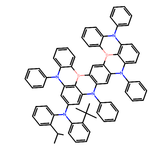 CC(C)c1ccccc1N(c1cc2c3c(c1)N(c1ccccc1)c1cc4c(cc1B3c1ccccc1N2c1ccccc1)B1c2ccccc2N(c2ccccc2)c2cccc(c21)N4c1ccccc1)c1ccccc1C(C)(C)C